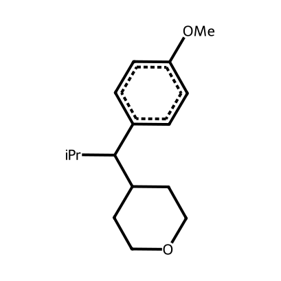 COc1ccc(C(C(C)C)C2CCOCC2)cc1